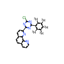 [2H]c1c([2H])c([2H])c(-c2nc(Cl)nc(-c3ccc4ccc5cccnc5c4n3)n2)c([2H])c1[2H]